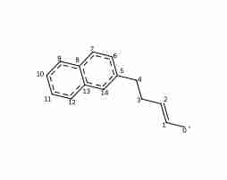 [CH2]C=CCCc1ccc2ccccc2c1